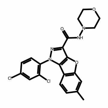 Cc1ccc2c(c1)oc1c(C(=O)NN3CCOCC3)nn(-c3ccc(Cl)cc3Cl)c12